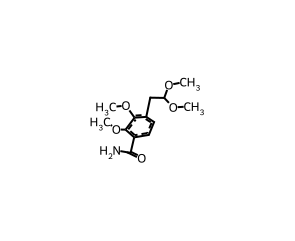 COc1c(CC(OC)OC)ccc(C(N)=O)c1OC